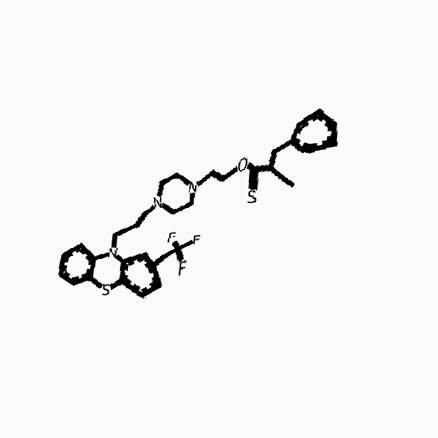 CC(Cc1ccccc1)C(=S)OCCN1CCN(CCCN2c3ccccc3Sc3ccc(C(F)(F)F)cc32)CC1